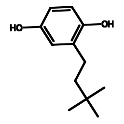 CC(C)(C)CCc1cc(O)ccc1O